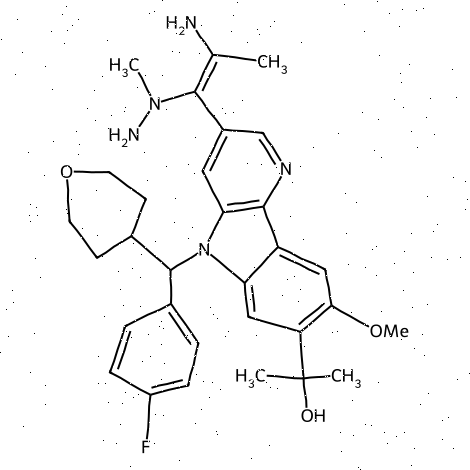 COc1cc2c3ncc(/C(=C(\C)N)N(C)N)cc3n(C(c3ccc(F)cc3)C3CCOCC3)c2cc1C(C)(C)O